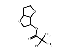 CCC(C)(C)C(=O)OC1COC2CCOC21